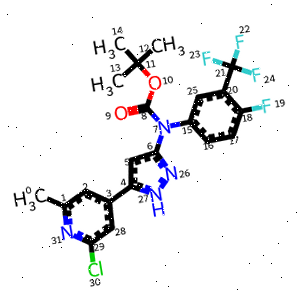 Cc1cc(-c2cc(N(C(=O)OC(C)(C)C)c3ccc(F)c(C(F)(F)F)c3)n[nH]2)cc(Cl)n1